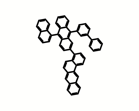 c1ccc(-c2cccc(-c3c4ccccc4c(-c4cccc5ccccc45)c4ccc(-c5cccc6c5ccc5cc7ccccc7cc56)cc34)c2)cc1